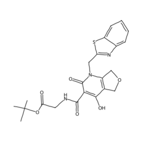 CC(C)(C)OC(=O)CNC(=O)c1c(O)c2c(n(Cc3nc4ccccc4s3)c1=O)COC2